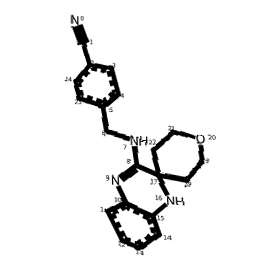 N#Cc1ccc(CNC2=Nc3ccccc3NC23CCOCC3)cc1